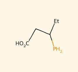 CCC(P)CC(=O)O